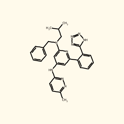 Cc1ccc(Nc2cc(-c3ccccc3-c3nnn[nH]3)nc(N(Cc3ccccc3)CC(C)C)c2)nn1